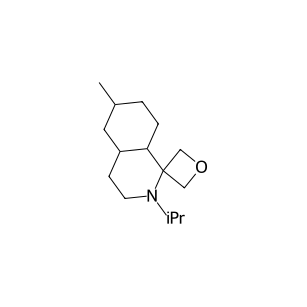 CC1CCC2C(CCN(C(C)C)C23COC3)C1